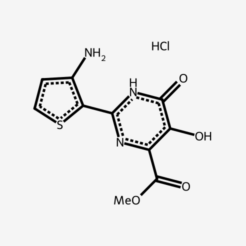 COC(=O)c1nc(-c2sccc2N)[nH]c(=O)c1O.Cl